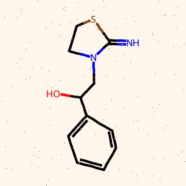 N=C1SCCN1CC(O)c1ccccc1